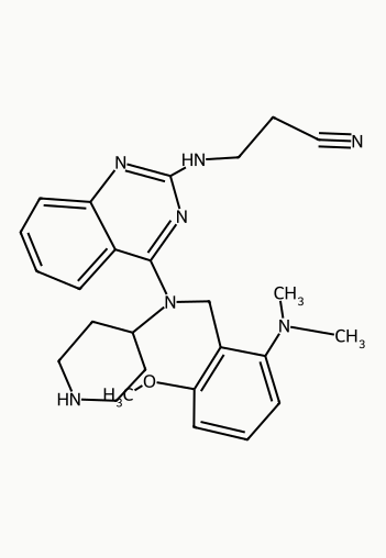 COc1cccc(N(C)C)c1CN(c1nc(NCCC#N)nc2ccccc12)C1CCNCC1